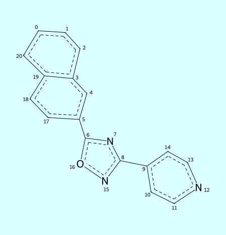 c1ccc2cc(-c3nc(-c4ccncc4)no3)ccc2c1